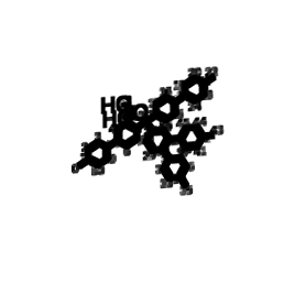 Cc1ccc(-c2ccc(C(OB(O)O)(c3ccc(-c4ccc(C)cc4)cc3)c3ccc(-c4ccc(C)cc4)c(-c4ccc(C)cc4)c3)cc2)cc1